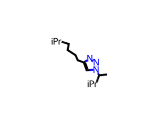 CC(C)CCCCc1cn(C(C)C(C)C)nn1